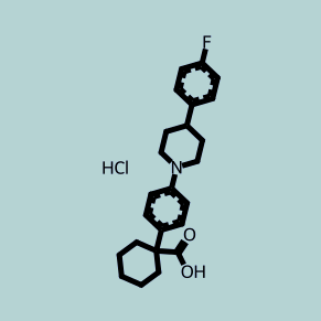 Cl.O=C(O)C1(c2ccc(N3CCC(c4ccc(F)cc4)CC3)cc2)CCCCC1